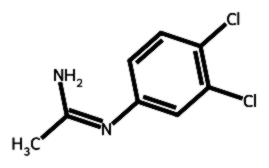 CC(N)=Nc1ccc(Cl)c(Cl)c1